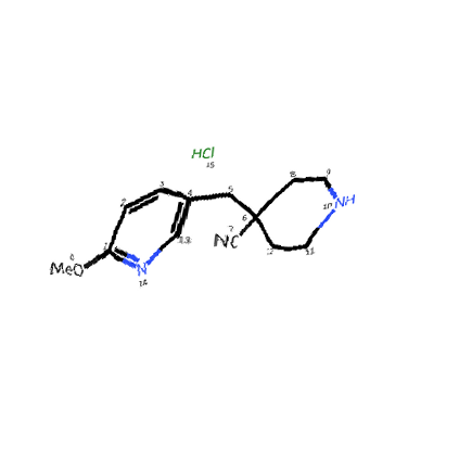 COc1ccc(CC2(C#N)CCNCC2)cn1.Cl